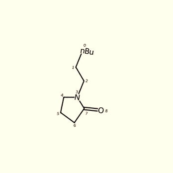 CCCCCCN1CCCC1=O